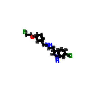 FCCOc1cccc(CNCCc2c[nH]c3cc(Cl)ccc23)c1